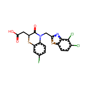 O=C(O)CC1Sc2cc(F)ccc2N(Cc2nc3c(Cl)c(Cl)ccc3s2)C1=O